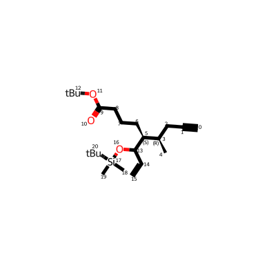 C#CC[C@@H](C)[C@H](CCCC(=O)OC(C)(C)C)C(C=C)O[Si](C)(C)C(C)(C)C